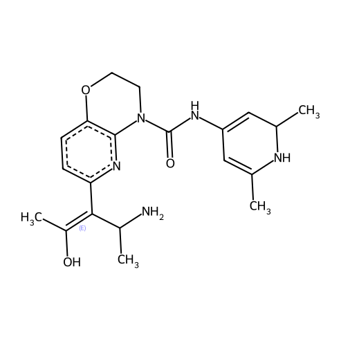 CC1=CC(NC(=O)N2CCOc3ccc(/C(=C(\C)O)C(C)N)nc32)=CC(C)N1